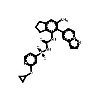 Cc1cc2c(c(NC(=O)NS(=O)(=O)c3ccnc(OC4CC4)c3)c1-c1ccn3nccc3c1)CCC2